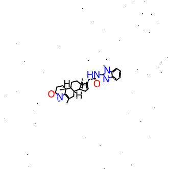 CC1=C2N(C)C(=O)CC[C@]2(C)[C@H]2CC[C@]3(C)[C@@H](CC(=O)Nc4nc5ccccc5n4C)CC[C@H]3[C@@H]2C1